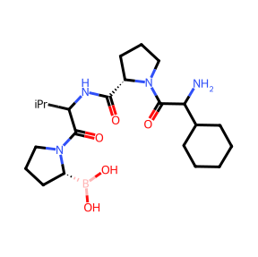 CC(C)C(NC(=O)[C@@H]1CCCN1C(=O)C(N)C1CCCCC1)C(=O)N1CCC[C@H]1B(O)O